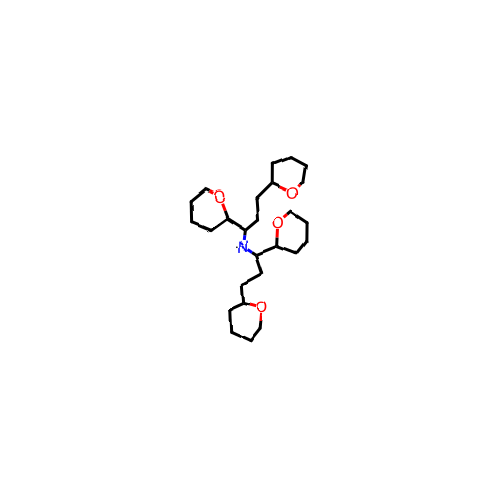 C1CCC(CCC([N]C(CCC2CCCCO2)C2CCCCO2)C2CCCCO2)OC1